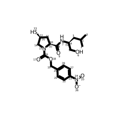 CC(C)C[C@@H](CO)NC(=O)[C@@H]1C[C@H](S)CN1C(=O)OCc1ccc([N+](=O)[O-])cc1